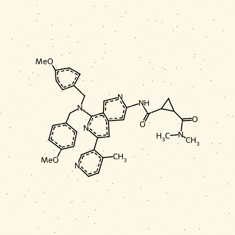 COc1ccc(CN(Cc2ccc(OC)cc2)c2nc(-c3cnccc3C)cc3cc(NC(=O)C4CC4C(=O)N(C)C)ncc23)cc1